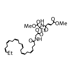 CC/C=C\C/C=C\C/C=C\C/C=C\C/C=C\C/C=C\CCC(=O)NCC(=O)OC(CC)(NC(=O)C=CC(=O)OC)C(=O)OC